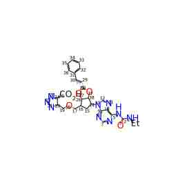 CCNC(=O)Nc1ncnc2c1ncn2C1CC(COCC2N=NN=C2C(=O)O)C2O[C@H](/C=C/c3ccccc3)OC21